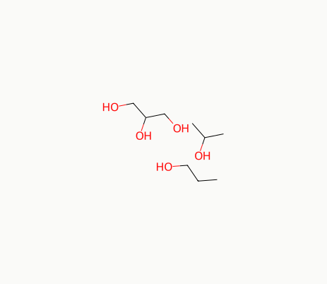 CC(C)O.CCCO.OCC(O)CO